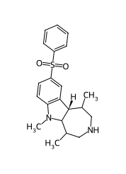 CC1CNCC(C)[C@H]2c3cc(S(=O)(=O)c4ccccc4)ccc3N(C)C12